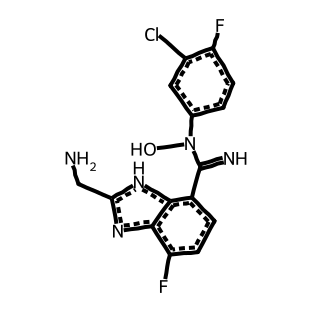 N=C(c1ccc(F)c2nc(CN)[nH]c12)N(O)c1ccc(F)c(Cl)c1